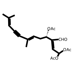 CC(=O)OC(/C=C(\C=O)[C@H](C/C=C(\C)C#CC=C(C)C)OC(C)=O)OC(C)=O